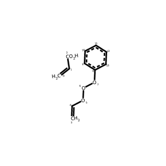 C=CC(=O)O.C=COOOc1ccccc1